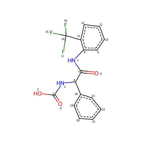 O=C(O)NC(C(=O)Nc1ccccc1C(F)(F)F)c1ccccc1